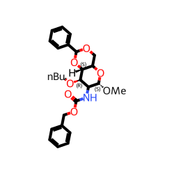 CCCCO[C@@H]1C(NC(=O)OCc2ccccc2)[C@@H](OC)OC2COC(c3ccccc3)O[C@H]21